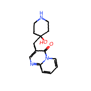 O=c1c(CC2(O)CCNCC2)cnc2ccccn12